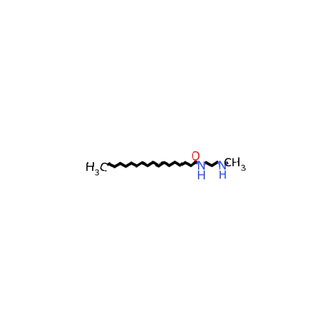 CCCCCCCCCCCCCCCCCC(=O)NCCCNC